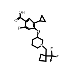 O=C(O)c1cc(C2CC2)c(O[C@@H]2CCCN(CC3(C(F)(F)F)CCC3)C2)cc1F